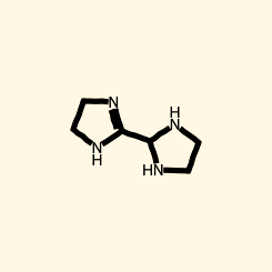 C1CNC([C]2NCCN2)=N1